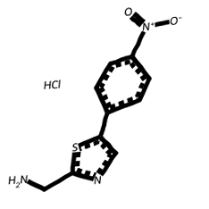 Cl.NCc1ncc(-c2ccc([N+](=O)[O-])cc2)s1